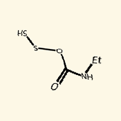 CCNC(=O)OSS